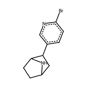 Brc1ccc(C2CC3CCC2N3)cn1